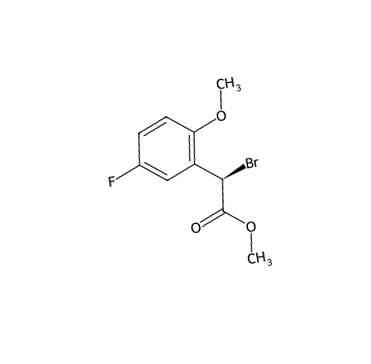 COC(=O)[C@H](Br)c1cc(F)ccc1OC